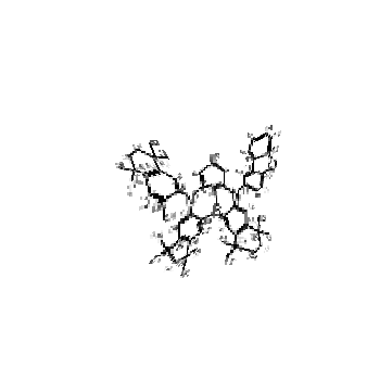 Cc1cc2c3c(c1)N(c1cc4c(cc1C)C(C)(C)CCC4(C)C)c1cc4c(cc1B3c1cc3c(cc1N2c1ccc2oc5ccccc5c2c1)C(C)(C)CCC3(C)C)C(C)(C)CC4(C)C